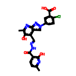 Cc1ccc(C(=O)NN=Cc2c(O)c(C)nc3nn(-c4ccc(Cl)c(C(=O)O)c4)cc23)c(O)n1